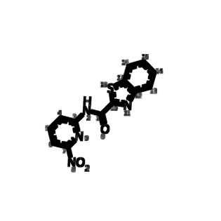 O=C(Nc1cccc([N+](=O)[O-])n1)c1nc2ccccc2s1